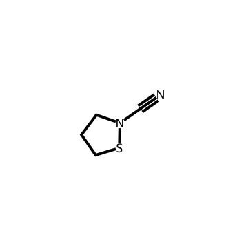 N#CN1CCCS1